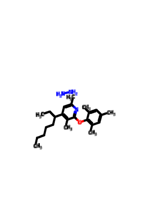 CCCCCC(CC)c1cc(C)nc(Oc2c(C)cc(C)cc2C)c1C.NN